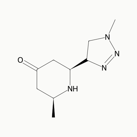 C[C@H]1CC(=O)C[C@@H](C2CN(C)N=N2)N1